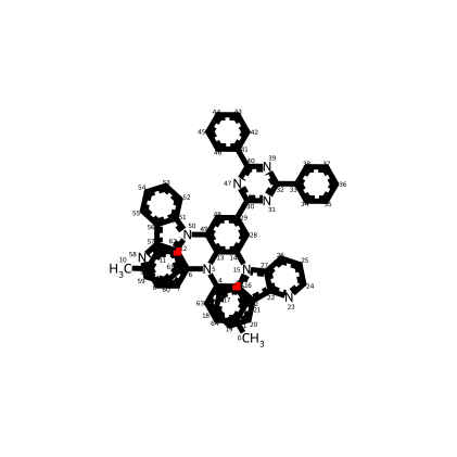 Cc1ccc(N(c2ccc(C)cc2)c2c(-n3c4ccccc4c4ncccc43)cc(-c3nc(-c4ccccc4)nc(-c4ccccc4)n3)cc2-n2c3ccccc3c3ncccc32)cc1